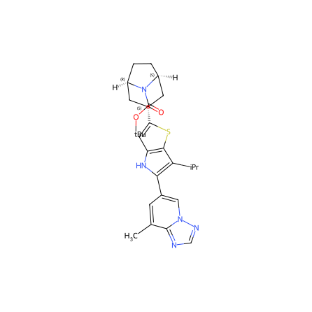 Cc1cc(-c2[nH]c3cc([C@@H]4C[C@H]5CC[C@@H](C4)N5C(=O)OC(C)(C)C)sc3c2C(C)C)cn2ncnc12